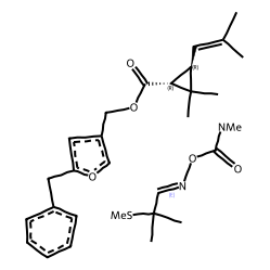 CC(C)=C[C@@H]1[C@@H](C(=O)OCc2coc(Cc3ccccc3)c2)C1(C)C.CNC(=O)O/N=C/C(C)(C)SC